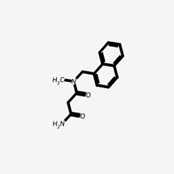 CN(Cc1cccc2ccccc12)C(=O)CC(N)=O